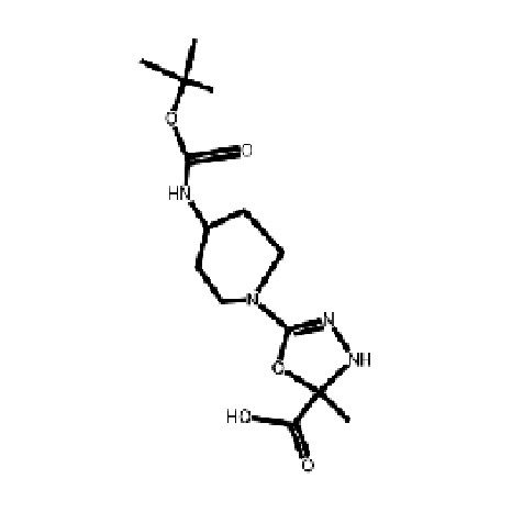 CC(C)(C)OC(=O)NC1CCN(C2=NNC(C)(C(=O)O)O2)CC1